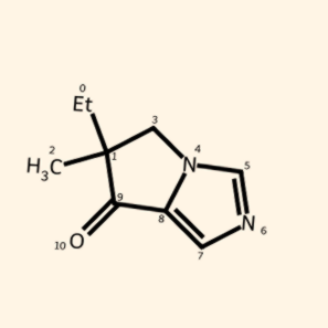 CCC1(C)Cn2cncc2C1=O